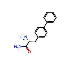 NC(=O)[C@H](N)Cc1ccc(-c2ccccc2)cc1